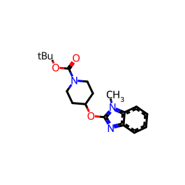 Cn1c(OC2CCN(C(=O)OC(C)(C)C)CC2)nc2ccccc21